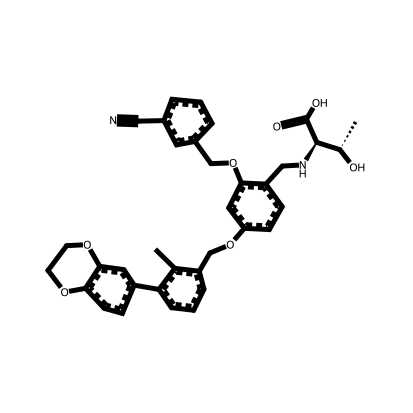 Cc1c(COc2ccc(CN[C@@H](C(=O)O)[C@H](C)O)c(OCc3cccc(C#N)c3)c2)cccc1-c1ccc2c(c1)OCCO2